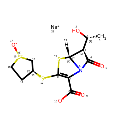 C[C@@H](O)[C@H]1C(=O)N2C(C(=O)[O-])=C(S[C@H]3CC[S@@+]([O-])C3)S[C@H]12.[Na+]